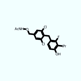 CC(=O)NOCc1cc(Cl)c(Cc2ccc(O)c(C(C)C)c2F)c(Cl)c1